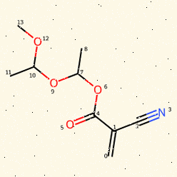 C=C(C#N)C(=O)OC(C)OC(C)OC